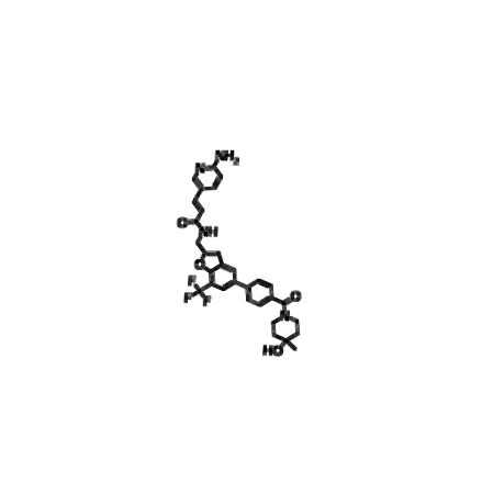 CC1(O)CCN(C(=O)c2ccc(-c3cc(C(F)(F)F)c4oc(CNC(=O)C=Cc5ccc(N)nc5)cc4c3)cc2)CC1